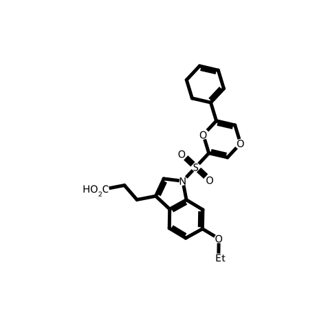 CCOc1ccc2c(CCC(=O)O)cn(S(=O)(=O)C3=COC=C(C4=CC=CCC4)O3)c2c1